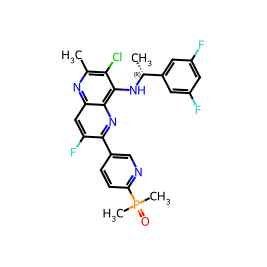 Cc1nc2cc(F)c(-c3ccc(P(C)(C)=O)nc3)nc2c(N[C@H](C)c2cc(F)cc(F)c2)c1Cl